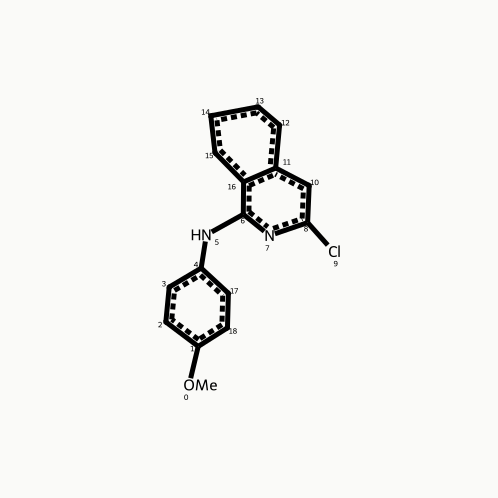 COc1ccc(Nc2nc(Cl)cc3ccccc23)cc1